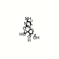 Nc1ccn([C@@H]2S[C@H](CO)C(O)C2OO)c(=O)n1